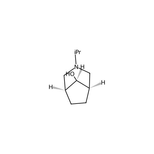 CC(C)N1C[C@H]2CC[C@@H](C1)[C@H]2O